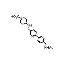 CC(=O)NCc1ccc(-c2ccc(CNC3CCN(C(=O)O)CC3)cn2)cc1